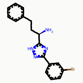 N[C@H](CCc1ccccc1)c1nc(-c2cccc(Br)c2)n[nH]1